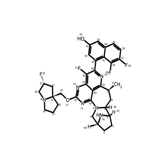 C[C@H]1C[C@@H]2[C@@H]3CC[C@H](CN2c2nc(OC[C@@]45CCCN4C[C@H](F)C5)nc4c(F)c(-c5cc(O)cc6ccc(F)c(F)c56)nc1c24)N3